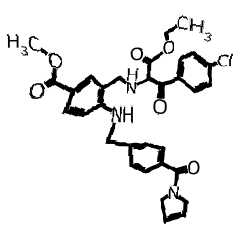 CCOC(=O)C(NCc1cc(C(=O)OC)ccc1NCc1ccc(C(=O)N2CC=CC2)cc1)C(=O)c1ccc(Cl)cc1